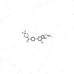 NCc1cc2cc(-c3ccc(C(=O)N4CCC(F)(F)CC4)cc3)cc(Cl)c2[nH]1